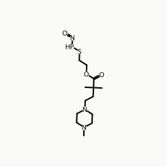 CN1CCN(CCC(C)(C)C(=O)OCCSPN=O)CC1